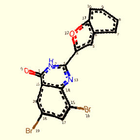 O=c1[nH]c(-c2cc3ccccc3o2)nc2c(Br)cc(Br)cc12